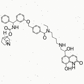 CCN(CCCCNC[C@@H](O)c1ccc(O)c2[nH]c(=O)ccc12)C(=O)c1ccc(COc2cccc(C(NC(=O)O[C@H]3CN4CCC3CC4)c3ccccc3)c2)cc1